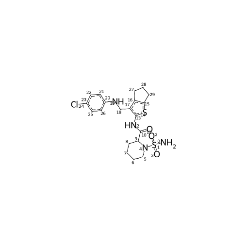 NS(=O)(=O)N1CCCCC1C(=O)Nc1sc2c(c1CNc1ccc(Cl)cc1)CCC2